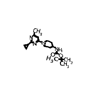 Cc1cc(N2CCC(NC(=O)OC(C)(C)C)CC2)nc(C2CC2)n1